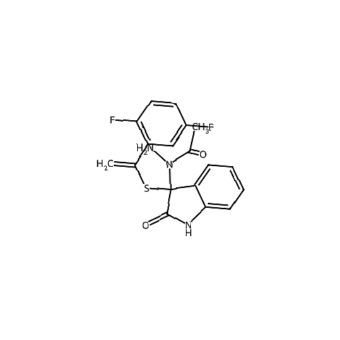 C=C(SC1(N(N)C(C)=O)C(=O)Nc2ccccc21)c1cc(F)ccc1F